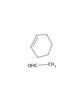 C1=CCCCC1.CC=O